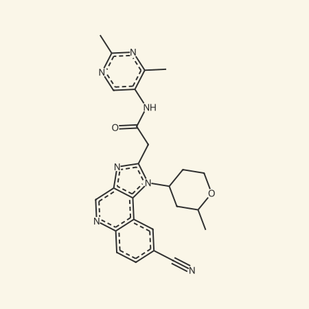 Cc1ncc(NC(=O)Cc2nc3cnc4ccc(C#N)cc4c3n2C2CCOC(C)C2)c(C)n1